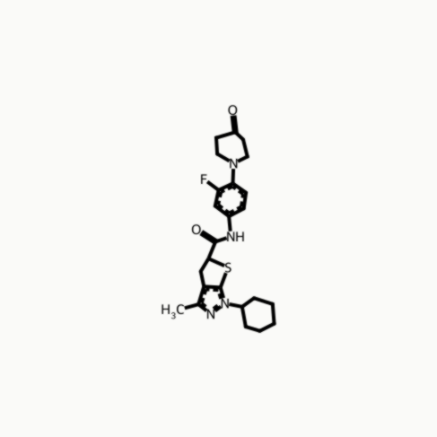 Cc1nn(C2CCCCC2)c2c1CC(C(=O)Nc1ccc(N3CCC(=O)CC3)c(F)c1)S2